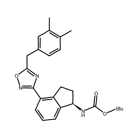 Cc1ccc(Cc2nc(-c3cccc4c3CC[C@H]4NC(=O)OC(C)(C)C)no2)cc1C